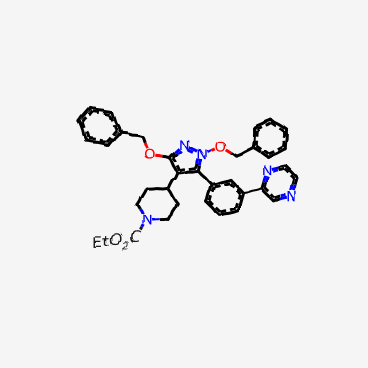 CCOC(=O)N1CCC(c2c(OCc3ccccc3)nn(OCc3ccccc3)c2-c2cccc(-c3cnccn3)c2)CC1